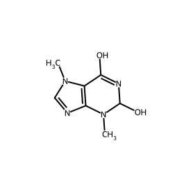 CN1c2ncn(C)c2C(O)=NC1O